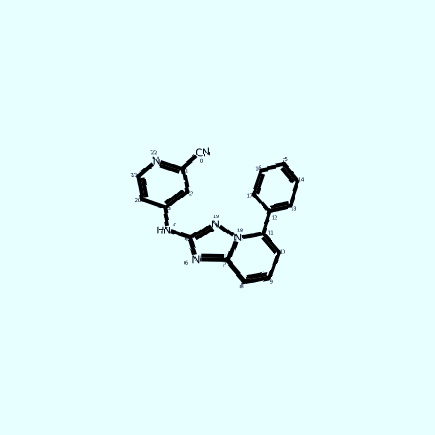 N#Cc1cc(Nc2nc3cccc(-c4ccccc4)n3n2)ccn1